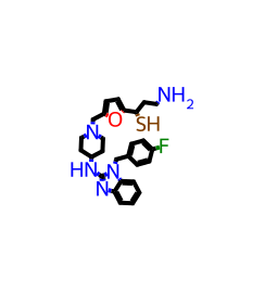 NCCC(S)c1ccc(CN2CCC(Nc3nc4ccccc4n3Cc3ccc(F)cc3)CC2)o1